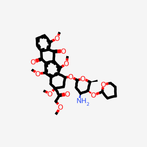 COCC(=O)C1(OC)Cc2c(OC)c3c(c(OC)c2C(OC2C[C@H](N)[C@H](OC4CCCCO4)[C@H](C)O2)C1)C(=O)c1c(OC)cccc1C3=O